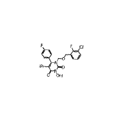 CC(C)c1c(-c2ccc(F)cc2)n(COCc2cccc(Cl)c2F)c(=O)n(O)c1=O